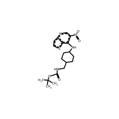 CC(C)(C)OC(=O)NCC1CCC(Nc2c([N+](=O)[O-])cnc3ccsc23)CC1